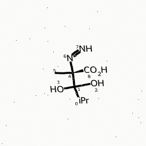 CC(C)C(O)(O)[C@](C)(N=N)C(=O)O